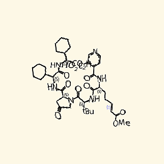 COC(=O)/C=C/CC[C@H](NC(=O)c1ccncc1C(=O)O)C(=O)N[C@H](C(=O)N1CC(=O)C[C@H]1C(=O)N[C@H](C(=O)N[C@H](C(=O)O)C1CCCCC1)C1CCCCC1)C(C)(C)C